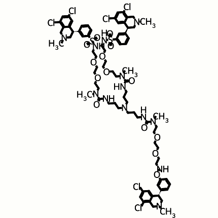 CN1Cc2c(Cl)cc(Cl)cc2[C@H](c2cccc(ONCCOCCOCCN(C)C(=O)NCCCN(CCCNC(=O)N(C)CCOCCOCCNS(=O)(=O)c3cccc([C@@H]4CN(C)Cc5c(Cl)cc(Cl)cc54)c3)CCCNC(=O)N(C)CCOCCOCCNS(=O)(=O)c3cccc([C@@H]4CN(C)Cc5c(Cl)cc(Cl)cc54)c3)c2)C1